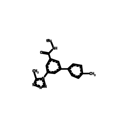 Cc1ccc(-c2cc(C(=O)NC(C)(C)C)cc(-n3nnnc3C)c2)cc1